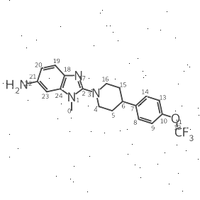 Cn1c(N2CCC(c3ccc(OC(F)(F)F)cc3)CC2)nc2ccc(N)cc21